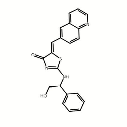 O=C1N=C(N[C@H](CO)c2ccccc2)S/C1=C\c1ccc2ncccc2c1